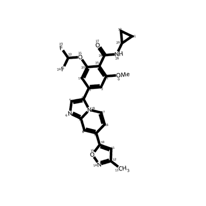 COc1cc(-c2cnc3cc(-c4cc(C)no4)ccn23)cc(OC(F)F)c1C(=O)NC1CC1